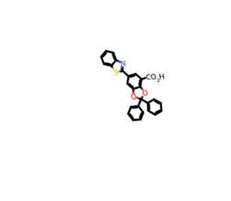 O=C(O)c1cc(-c2nc3ccccc3s2)cc2c1OC(c1ccccc1)(c1ccccc1)O2